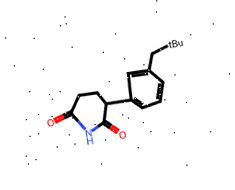 CC(C)(C)Cc1cccc(C2CCC(=O)NC2=O)c1